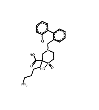 NCCCCC1(C(=O)O)CN(Cc2ccccc2-c2ccccc2Cl)CCP1(=O)O